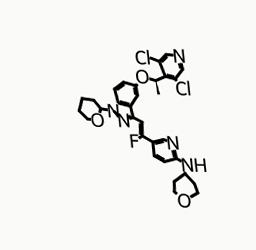 C[C@@H](Oc1ccc2c(c1)c(/C=C(\F)c1ccc(NC3CCOCC3)nc1)nn2C1CCCCO1)c1c(Cl)cncc1Cl